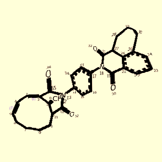 C=C1/C2=C\C=C/CCCCC1C(=O)N(c1ccc(N3C(=O)c4cccc5c4C(CCC5)C3=O)cc1)C2=O